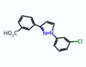 O=C(O)c1cccc(-c2ccn(-c3cccc(Cl)c3)n2)c1